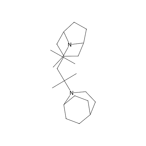 CC(C)(C)N1C2CCC1CC(CC(C)(C)N1CCC3CCC1CC3)C2